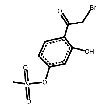 CS(=O)(=O)Oc1ccc(C(=O)CBr)c(O)c1